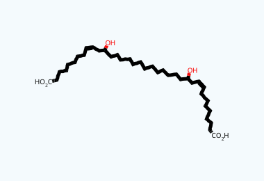 O=C(O)CCCCCCC/C=C\CC(O)CCCCCCCCCCCCCC(O)C/C=C\CCCCCCCC(=O)O